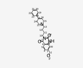 COCc1ccc2c(=O)n(CCCCN3CC=C(c4ccccc4)CC3)c(=O)[nH]c2c1